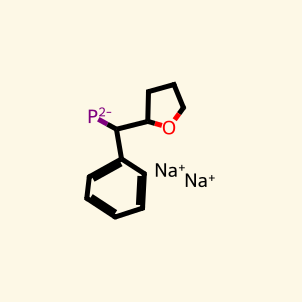 [Na+].[Na+].[P-2]C(c1ccccc1)C1CCCO1